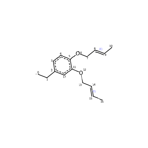 [CH2]Cc1ccc(OC/C=C/C)c(OC/C=C/C)c1